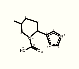 CC1CCC(c2cnco2)N(C(=O)O)C1